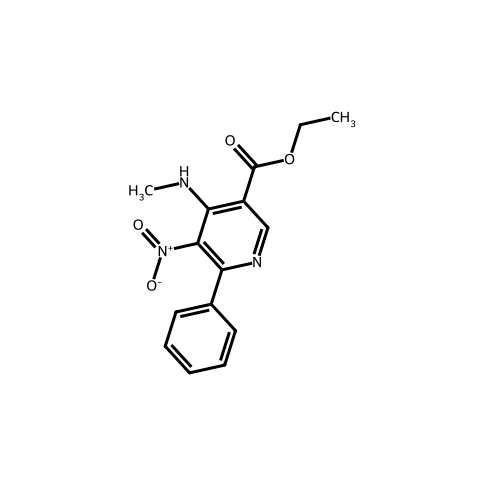 CCOC(=O)c1cnc(-c2ccccc2)c([N+](=O)[O-])c1NC